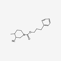 CC1CCN(C(=O)OCCCc2ccccc2)CC1C#N